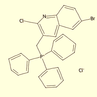 Clc1nc2ccc(Br)cc2cc1C[P+](c1ccccc1)(c1ccccc1)c1ccccc1.[Cl-]